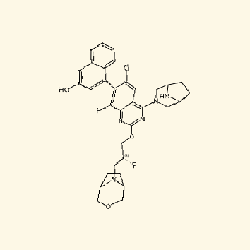 Oc1cc(-c2c(Cl)cc3c(N4CC5CCC(C4)N5)nc(OC[C@H](F)CN4C5CCC4COC5)nc3c2F)c2ccccc2c1